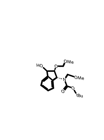 COCO[C@@H]1C(O)c2ccccc2[C@H]1N(COC)C(=O)OC(C)(C)C